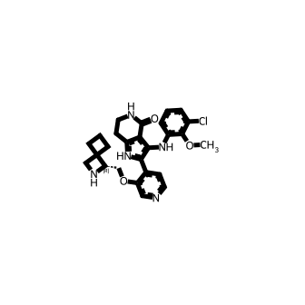 COc1c(Cl)cccc1Nc1c(-c2ccncc2OC[C@@H]2NCC23CCC3)[nH]c2c1C(=O)NCC2